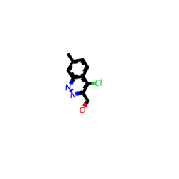 Cc1ccc2c(Cl)c(C=O)nnc2c1